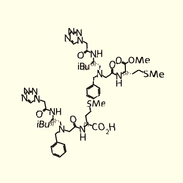 CC[C@H](C)[C@@H](CN(CC(=O)N[C@@H](CCSC)C(=O)O)Cc1ccccc1)NC(=O)Cn1cnnn1.CC[C@H](C)[C@@H](CN(CC(=O)N[C@@H](CCSC)C(=O)OC)Cc1ccccc1)NC(=O)Cn1cnnn1